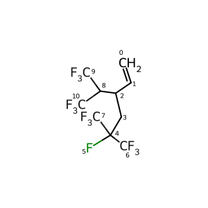 C=CC(CC(F)(C(F)(F)F)C(F)(F)F)C(C(F)(F)F)C(F)(F)F